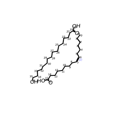 CCCCCC/C=C\CCCCCCCC(=O)O.O=C(O)CCCCCCCCCCCCCCCO